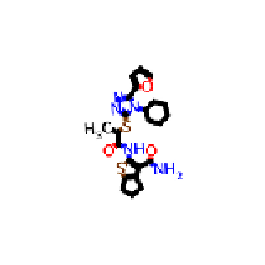 CC(Sc1nnc(-c2ccco2)n1C1CCCCC1)C(=O)Nc1sc2c(c1C(N)=O)CCC2